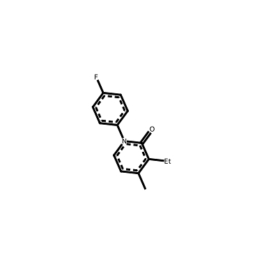 CCc1c(C)ccn(-c2ccc(F)cc2)c1=O